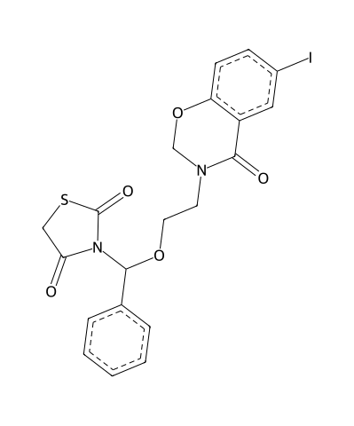 O=C1c2cc(I)ccc2OCN1CCOC(c1ccccc1)N1C(=O)CSC1=O